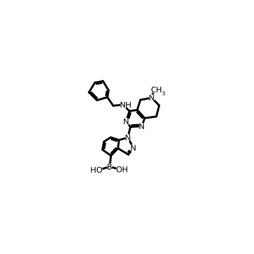 CN1CCc2nc(-n3ncc4c(B(O)O)cccc43)nc(NCc3ccccc3)c2C1